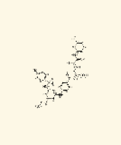 O=C(NC[C@H](NC(=O)c1ccc(Nc2nc(NC3(c4ccc(Cl)cc4)CC3)nc(OCC(F)(F)F)n2)cc1)C(=O)O)C(=O)NC1CCCC(O)C1